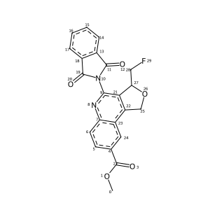 COC(=O)c1ccc2nc(N3C(=O)c4ccccc4C3=O)c3c(c2c1)COC3CF